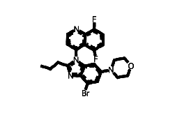 CCCc1nc2c(Br)cc(N3CCOCC3)cc2n1-c1ccnc2c(F)ccc(F)c12